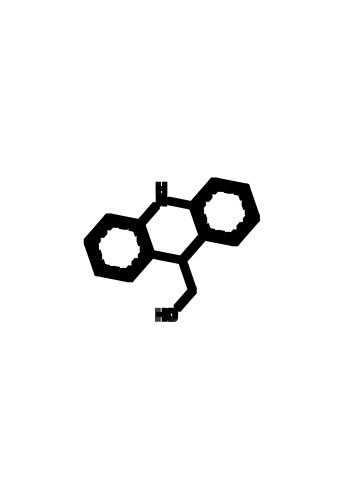 OCC1c2ccccc2Nc2ccccc21